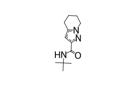 CC(C)(C)NC(=O)c1cc2n(n1)CCCC2